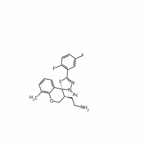 CC(=O)N1N=C(c2cc(F)ccc2F)S[C@]12c1cccc(C)c1OC[C@@H]2CCN